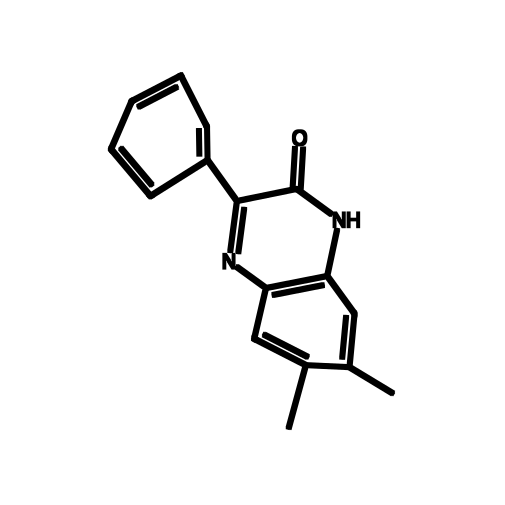 Cc1cc2nc(-c3ccccc3)c(=O)[nH]c2cc1C